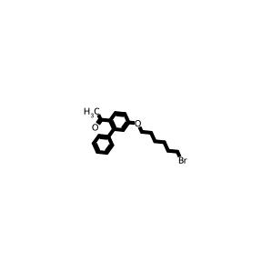 CC(=O)c1ccc(OCCCCCCBr)cc1-c1ccccc1